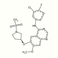 COc1cc2ncnc(Nc3ccc(F)c(Cl)c3)c2cc1O[C@H]1CCN(S(C)(=O)=O)C1